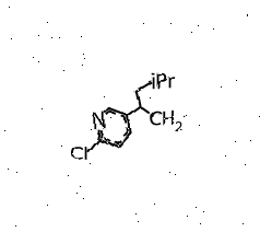 [CH2]C(CC(C)C)c1ccc(Cl)nc1